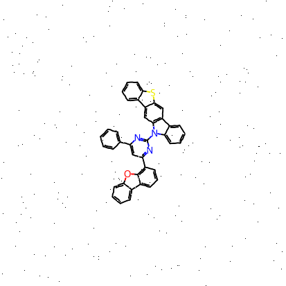 c1ccc(-c2cc(-c3cccc4c3oc3ccccc34)nc(-n3c4ccccc4c4cc5sc6ccccc6c5cc43)n2)cc1